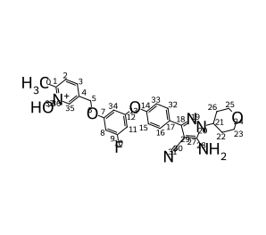 Cc1ccc(COc2cc(F)cc(Oc3ccc(-c4nn(C5CCOCC5)c(N)c4C#N)cc3)c2)c[n+]1O